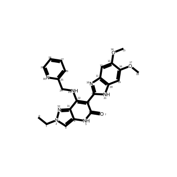 CCn1cc2[nH]c(=O)c(-c3nc4cc(OC)c(OC)cc4[nH]3)c(NCc3ccccn3)c2n1